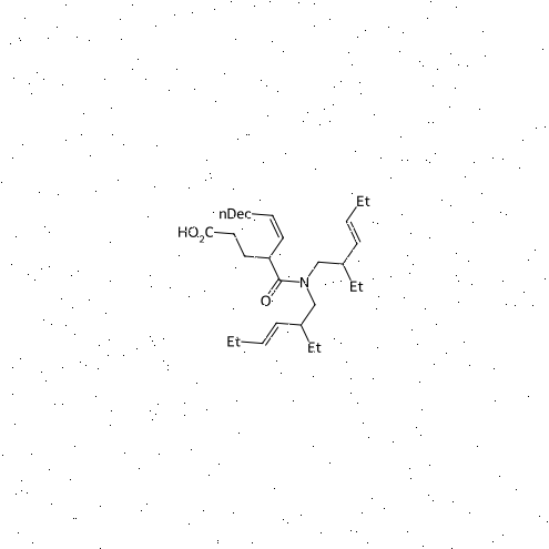 CC/C=C/C(CC)CN(CC(/C=C/CC)CC)C(=O)C(/C=C\CCCCCCCCCC)CCC(=O)O